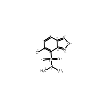 CN(C)S(=O)(=O)c1c(Cl)ccc2nonc12